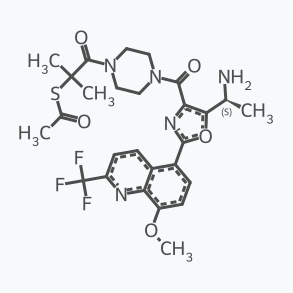 COc1ccc(-c2nc(C(=O)N3CCN(C(=O)C(C)(C)SC(C)=O)CC3)c([C@H](C)N)o2)c2ccc(C(F)(F)F)nc12